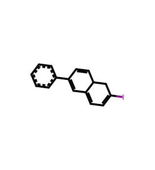 IC1=CC=C2C=C(c3ccccc3)C=CC2C1